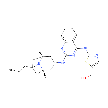 N#CCCC12C[C@H]3C[C@H](Nc4nc(Nc5ncc(CO)s5)c5ccccc5n4)C[C@@H](C1)N32